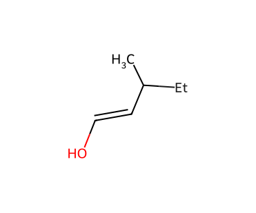 CCC(C)C=CO